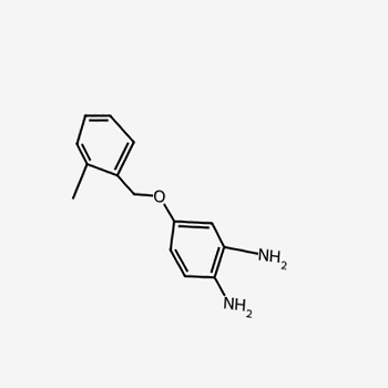 Cc1ccccc1COc1ccc(N)c(N)c1